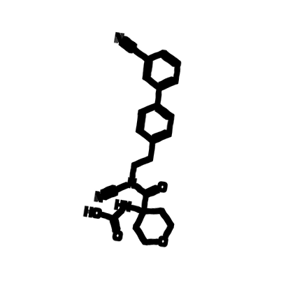 N#Cc1cccc(-c2ccc(CCN(C#N)C(=O)C3(NC(=O)O)CCOCC3)cc2)c1